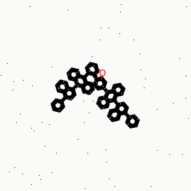 c1ccc(-c2ccc(-c3c4ccccc4c(-c4ccc5c(c4)oc4cccc(-c6c7ccccc7c(-c7ccc(-c8ccccc8)c8ccccc78)c7ccccc67)c45)c4ccccc34)c3ccccc23)cc1